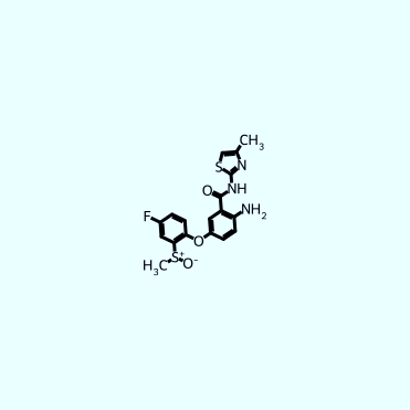 Cc1csc(NC(=O)c2cc(Oc3ccc(F)cc3[S+](C)[O-])ccc2N)n1